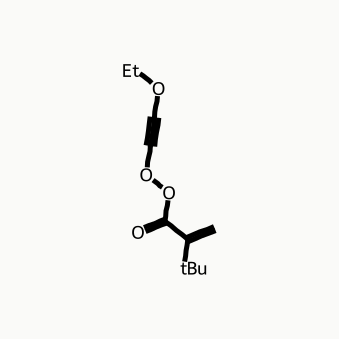 C=C(C(=O)OOC#COCC)C(C)(C)C